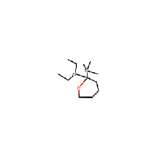 C[CH2][Al]([CH2]C)[C]1([Si](C)(C)C)CCCCO1